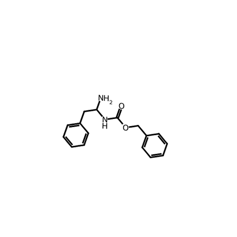 NC(Cc1ccccc1)NC(=O)OCc1ccccc1